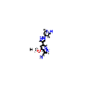 COc1cc(-c2cnn(C3CCNCC3)c2)cn2ncc(C#N)c12